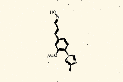 COc1cc(/C=C/C=NO)ccc1-n1cnc(C)c1